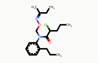 CCCc1ccccc1N(CON=C(C)CC)C(=O)C(Cl)CCC